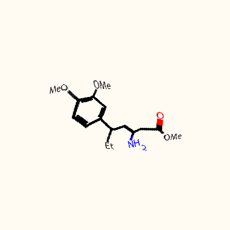 CCC(CC(N)C(=O)OC)c1ccc(OC)c(OC)c1